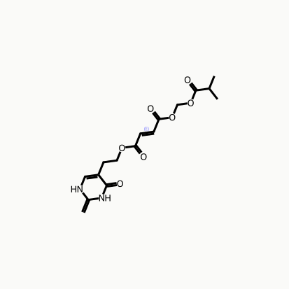 C=C1NC=C(CCOC(=O)/C=C/C(=O)OCOC(=O)C(C)C)C(=O)N1